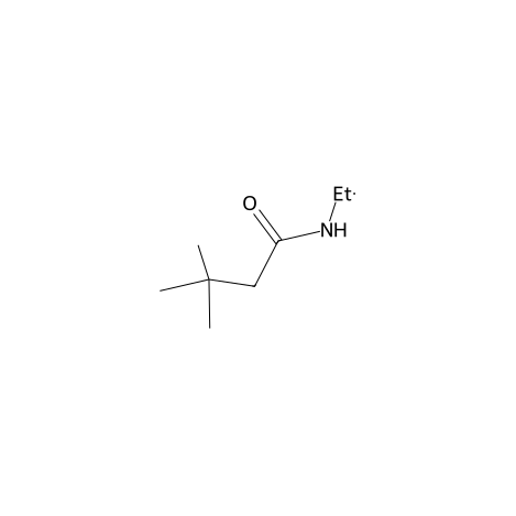 C[CH]NC(=O)CC(C)(C)C